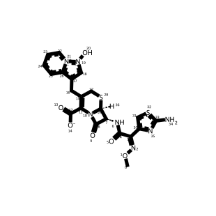 CO/N=C(\C(=O)N[C@@H]1C(=O)N2C(C(=O)[O-])=C(Cc3cn(O)[n+]4ccccc34)CS[C@@H]12)c1csc(N)n1